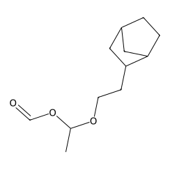 CC(OC=O)OCCC1CC2CCC1C2